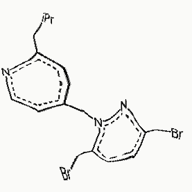 CC(C)c1cc(-n2nc(Br)cc2Br)ccn1